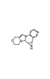 C1=C2COCCN2C2C3NC3c3cnccc3N12